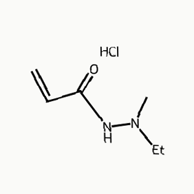 C=CC(=O)NN(C)CC.Cl